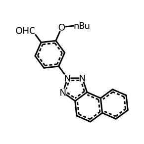 CCCCOc1cc(-n2nc3ccc4ccccc4c3n2)ccc1C=O